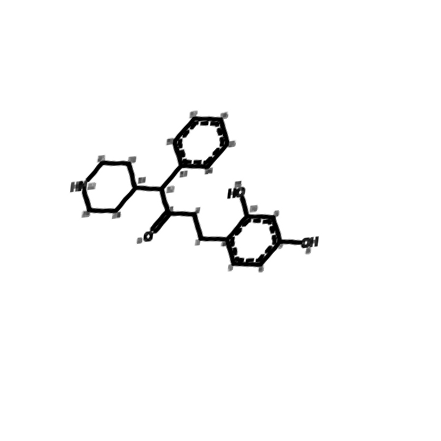 O=C(CCc1ccc(O)cc1O)C(c1ccccc1)C1CCNCC1